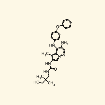 Cc1c(NC(=O)NCC(C)(C)CO)cn2ncc(N)c(Nc3ccc(Oc4ccccc4)cc3)c12